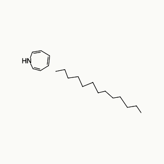 C1=CC=CNC=C1.CCCCCCCCCCCCC